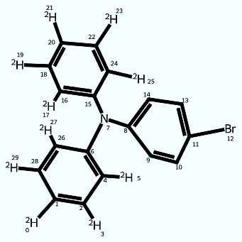 [2H]c1c([2H])c([2H])c(N(c2ccc(Br)cc2)c2c([2H])c([2H])c([2H])c([2H])c2[2H])c([2H])c1[2H]